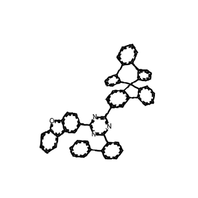 c1ccc(-c2ccccc2-c2nc(-c3ccc4c(c3)-c3ccccc3C43c4ccccc4-c4ccccc4-c4ccccc43)nc(-c3ccc4oc5ccccc5c4c3)n2)cc1